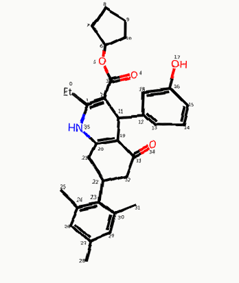 CCC1=C(C(=O)OC2CCCC2)C(c2cccc(O)c2)C2=C(CC(c3c(C)cc(C)cc3C)CC2=O)N1